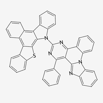 c1ccc(-c2nc(-n3c4ccccc4c4c5ccccc5c5c6ccccc6sc5c43)nc3c4ccccc4n4c5ccccc5nc4c23)cc1